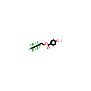 O=C(OCCC(F)(F)C(F)(F)C(F)(F)C(F)(F)F)c1ccc(O)cc1